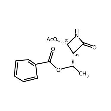 CC(=O)O[C@@H]1NC(=O)[C@@H]1C(C)OC(=O)c1ccccc1